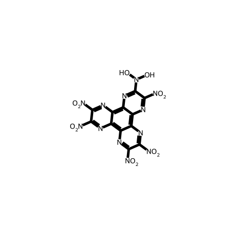 O=[N+]([O-])c1nc2c(nc1N(O)O)c1nc([N+](=O)[O-])c([N+](=O)[O-])nc1c1nc([N+](=O)[O-])c([N+](=O)[O-])nc21